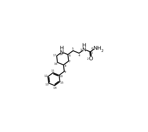 NC(=O)NCCC1CC(Cc2ccccc2)CCN1